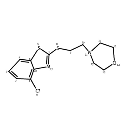 Clc1cccc2sc(SCCN3CCOCC3)nc12